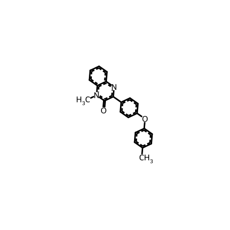 Cc1ccc(Oc2ccc(-c3nc4ccccc4n(C)c3=O)cc2)cc1